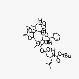 C=C(O[C@H]1C(=O)[C@@]2(C)[C@@H]([C@@H]3CO[C@@H]3C[C@@H]2C)[C@H](OC(=O)c2ccccc2)[C@]2(O)C[C@H](OC(=O)C[C@H](C=C(C)C)NC(=O)OC(C)(C)C)C(C)=C1C2(C)C)C1CC1